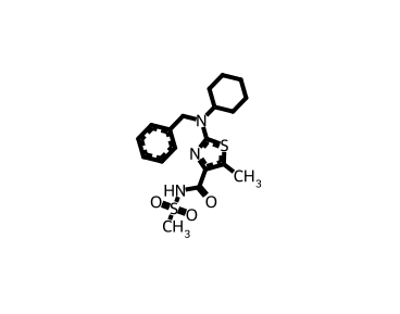 Cc1sc(N(Cc2ccccc2)C2CCCCC2)nc1C(=O)NS(C)(=O)=O